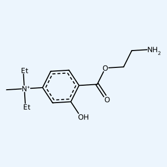 CC[N+](C)(CC)c1ccc(C(=O)OCCN)c(O)c1